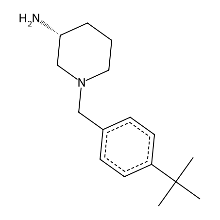 CC(C)(C)c1ccc(CN2CCC[C@@H](N)C2)cc1